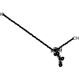 C#CC#CC#CC#CC#CC#CC#CC#CC#CC#CC#CC#CC#CC#CC#CC#CC#CC#CC#CC#CC#CC#CC#CC#CNC(=O)C1(C(=O)NCCCCCCCCCCCCCCCCCC)Nc2cccc3c(/N=N/c4ccc(/N=N/c5ccccc5)c5ccccc45)ccc(c23)N1